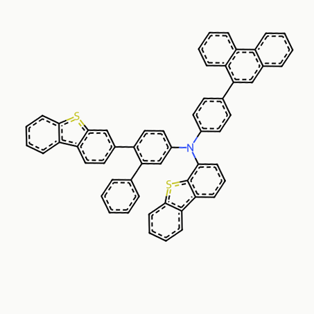 c1ccc(-c2cc(N(c3ccc(-c4cc5ccccc5c5ccccc45)cc3)c3cccc4c3sc3ccccc34)ccc2-c2ccc3c(c2)sc2ccccc23)cc1